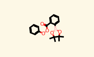 CC1(C)OB(c2ccccc2C(=O)OOc2ccccc2)OC1(C)C